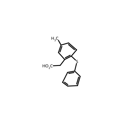 Cc1ccc(Sc2ccccc2)c(CC(=O)O)c1